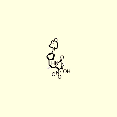 O=c1nc(O)c([N+](=O)[O-])c(/C=C\c2ccc(N3CCOCC3)cc2)[nH]1